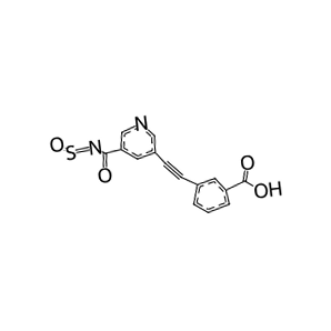 O=S=NC(=O)c1cncc(C#Cc2cccc(C(=O)O)c2)c1